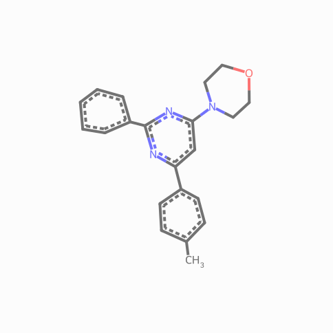 Cc1ccc(-c2cc(N3CCOCC3)nc(-c3ccccc3)n2)cc1